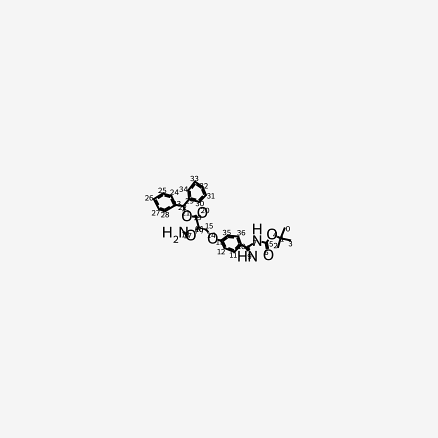 CC(C)(C)OC(=O)NC(=N)c1ccc(OC[C@@H](ON)C(=O)OC(c2ccccc2)c2ccccc2)cc1